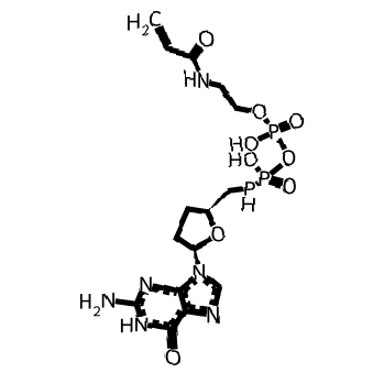 C=CC(=O)NCCOP(=O)(O)OP(=O)(O)PC[C@@H]1CC[C@H](n2cnc3c(=O)[nH]c(N)nc32)O1